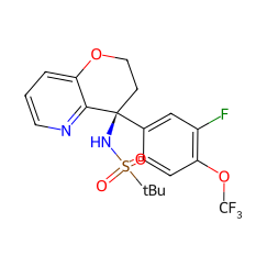 CC(C)(C)S(=O)(=O)N[C@]1(c2ccc(OC(F)(F)F)c(F)c2)CCOc2cccnc21